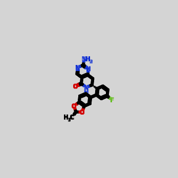 CC1Oc2ccc(-c3cc(F)ccc3[C@H]3Cc4nc(N)ncc4C(=O)N3)cc2O1